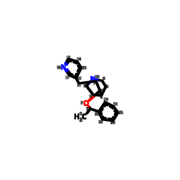 CC(OC1C2CCN(CC2)C1Cc1cccnc1)c1ccccc1